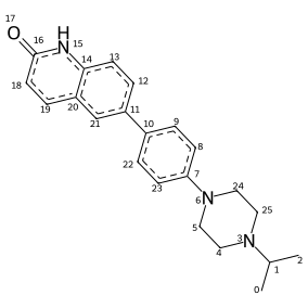 CC(C)N1CCN(c2ccc(-c3ccc4[nH]c(=O)ccc4c3)cc2)CC1